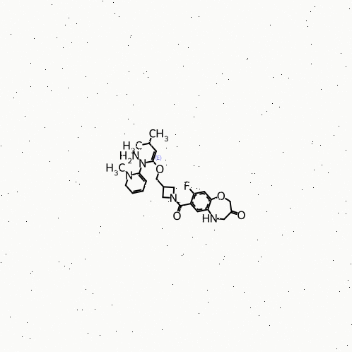 CC(C)/C=C(/OCC1CN(C(=O)c2cc3c(cc2F)OCC(=O)CN3)C1)N(N)C1=CC=CCN1C